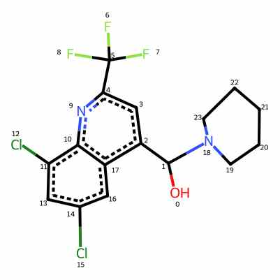 OC(c1cc(C(F)(F)F)nc2c(Cl)cc(Cl)cc12)N1CCCCC1